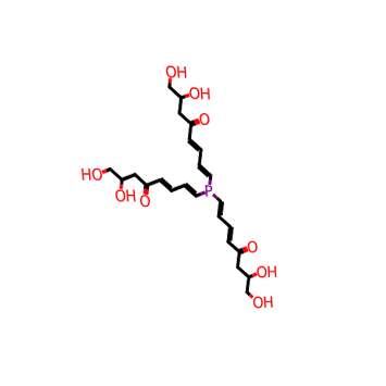 O=C(/C=C/C=C/P(/C=C/C=C/C(=O)CC(O)CO)/C=C/C=C/C(=O)CC(O)CO)CC(O)CO